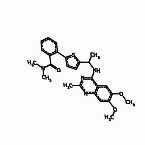 COc1cc2nc(C)nc(NC(C)c3ccc(-c4ccccc4C(=O)N(C)C)s3)c2cc1OC